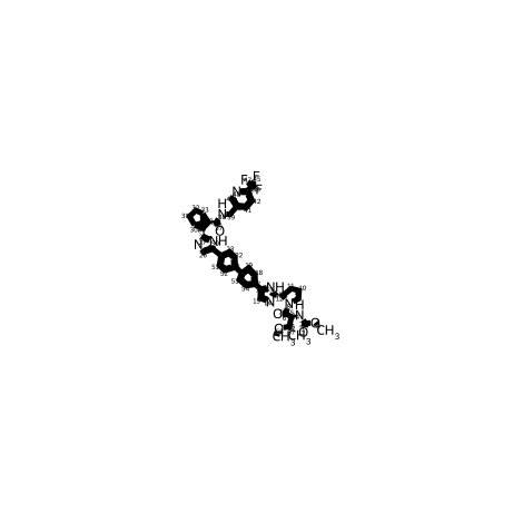 COC(=O)N[C@H](C(=O)N1CCC[C@H]1c1ncc(-c2ccc(-c3ccc(-c4cnc([C@@H]5C6CCC(C6)[C@H]5C(=O)NCc5ccc(C(F)(F)F)nc5)[nH]4)cc3)cc2)[nH]1)[C@@H](C)OC